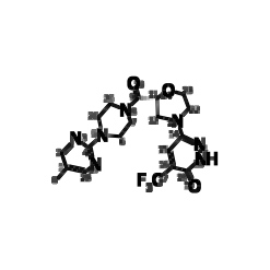 Cc1cnc(N2CCN(C(=O)[C@H]3CN(c4cc(C(F)(F)F)c(=O)[nH]n4)CCO3)CC2)nc1